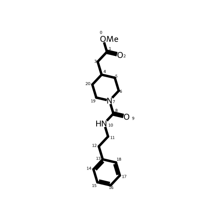 COC(=O)CC1CCN(C(=O)NCCc2ccccc2)CC1